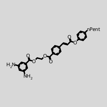 CCCCCc1ccc(OC(=O)/C=C/c2ccc(C(=O)OCCOC(=O)c3cc(N)cc(N)c3)cc2)cc1